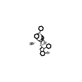 Brc1cccc2c1C(c1ccccc1)[C]([Zr+2][C]1=Cc3c4ccc(Br)c3C1c1ccc(cc1)P4c1ccccc1)=C2.[Br-].[Br-]